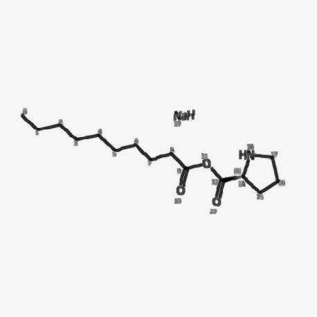 CCCCCCCCCC(=O)OC(=O)[C@@H]1CCCN1.[NaH]